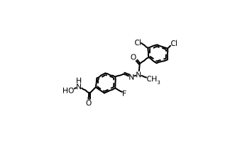 CN(N=Cc1ccc(C(=O)NO)cc1F)C(=O)c1ccc(Cl)cc1Cl